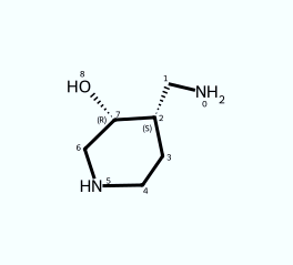 NC[C@@H]1CCNC[C@@H]1O